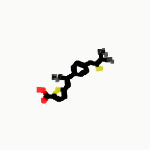 CC(=Cc1ccc(C(=O)O)s1)c1ccc(CC(S)=C(C)C)cc1